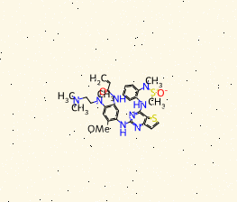 C=CC(=O)Nc1cc(Nc2nc(Nc3ccccc3N(C)[S+](C)[O-])c3sccc3n2)c(OC)cc1N(C)CCN(C)C